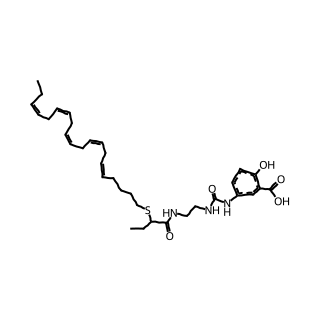 CC/C=C\C/C=C\C/C=C\C/C=C\C/C=C\CCCCSC(CC)C(=O)NCCNC(=O)Nc1ccc(O)c(C(=O)O)c1